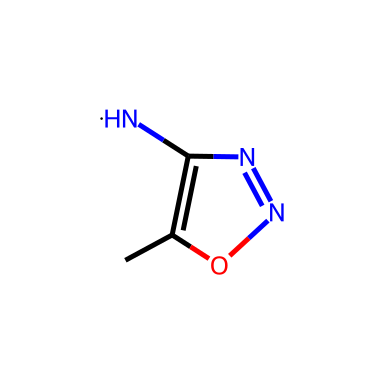 Cc1onnc1[NH]